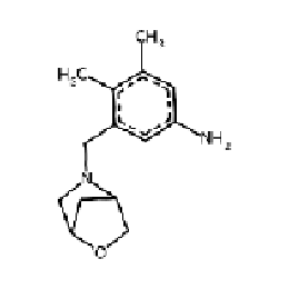 Cc1cc(N)cc(CN2CC3CC2CO3)c1C